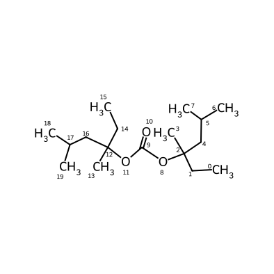 CCC(C)(CC(C)C)OC(=O)OC(C)(CC)CC(C)C